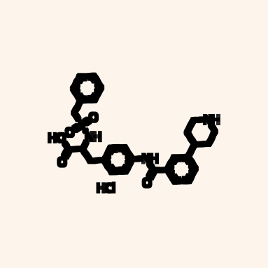 Cl.O=C(Nc1ccc(CC(NS(=O)(=O)Cc2ccccc2)C(=O)O)cc1)c1cccc(C2CCNCC2)c1